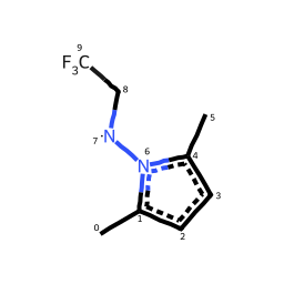 Cc1ccc(C)n1[N]CC(F)(F)F